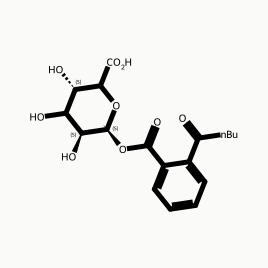 CCCCC(=O)c1ccccc1C(=O)O[C@@H]1OC(C(=O)O)[C@@H](O)C(O)[C@@H]1O